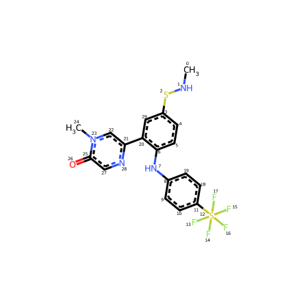 CNSc1ccc(Nc2ccc(S(F)(F)(F)(F)F)cc2)c(-c2cn(C)c(=O)cn2)c1